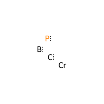 [B].[C].[Cr].[P]